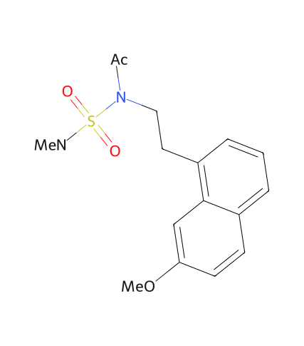 CNS(=O)(=O)N(CCc1cccc2ccc(OC)cc12)C(C)=O